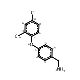 NCc1ccc(Oc2ccc(Cl)cc2Cl)cc1